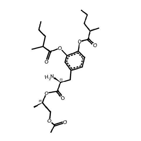 CCCC(C)C(=O)Oc1ccc(C[C@H](N)C(=O)O[C@H](C)COC(C)=O)cc1OC(=O)C(C)CCC